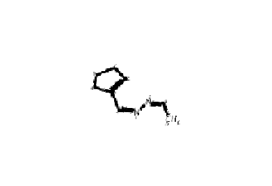 C/C=N\N=C/C1=CCCC1